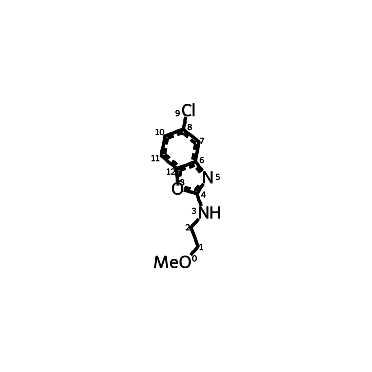 COCCNc1nc2cc(Cl)ccc2o1